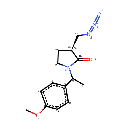 COc1ccc(C(C)N2CC[C@@H](CN=[N+]=[N-])C2=O)cc1